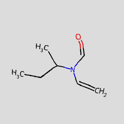 C=CN(C=O)C(C)CC